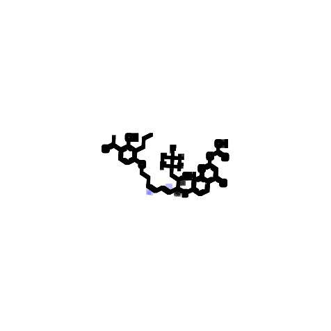 CCCc1c(OCC/C=C\C=C\[C@H](Sc2ccc3c(=O)cc(OC(=O)O)oc3c2)[C@H](O)CC(F)(F)C(F)(F)F)ccc(C(C)=O)c1O